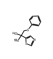 CC(C)(C)C(O)(CSc1ccccc1)c1cncs1